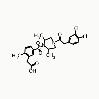 Cc1ccc(S(=O)(=O)N2C(C)CN(C(=O)Cc3ccc(Cl)c(Cl)c3)CC2C)cc1CC(=O)O